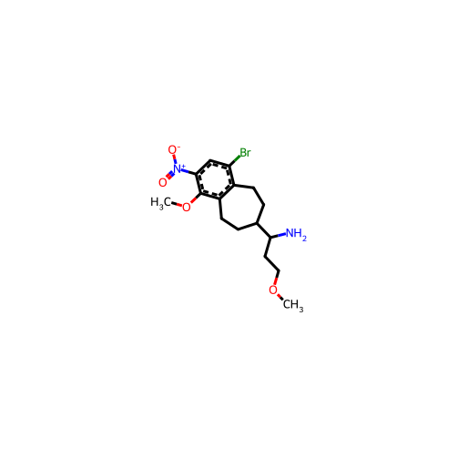 COCCC(N)C1CCc2c(Br)cc([N+](=O)[O-])c(OC)c2CC1